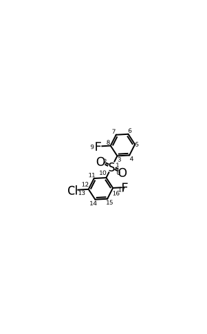 O=S(=O)(c1ccccc1F)c1cc(Cl)ccc1F